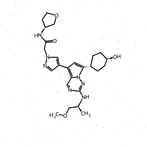 COC[C@H](C)Nc1ncc2c(-c3cnn(CC(=O)N[C@H]4CCOC4)c3)cc([C@H]3CC[C@H](O)CC3)n2n1